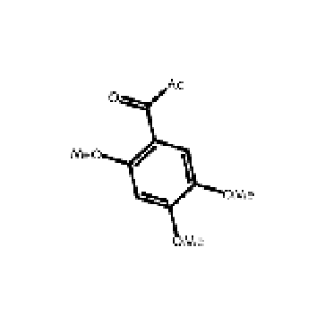 COc1cc(OC)c(C(=O)C(C)=O)cc1OC